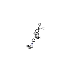 Cn1c(S(=N)Cc2ccc(/C=C/C(=O)NO)cc2)nc2cc(N(CCCl)CCCl)ccc21